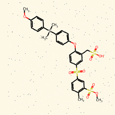 COc1ccc([Si](C)(C)c2ccc(Oc3ccc(S(=O)(=O)c4ccc(C)c(S(=O)(=O)OC)c4)cc3CS(=O)(=O)O)cc2)cc1